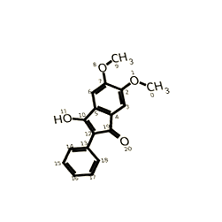 COc1cc2c(cc1OC)C(O)=C(c1ccccc1)C2=O